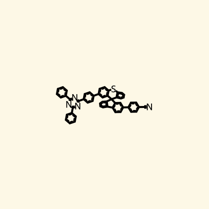 N#Cc1ccc(-c2ccc3c(c2)C2(c4ccccc4Sc4ccc(-c5ccc(-c6nc(-c7ccccc7)nc(-c7ccccc7)n6)cc5)cc42)c2ccccc2-3)cc1